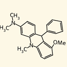 COc1cccc2c1C(c1ccccc1)c1ccc(N(C)C)cc1N2C